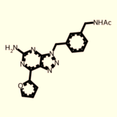 CC(=O)NCc1cccc(Cn2nnc3c(-c4ccco4)nc(N)nc32)c1